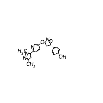 Cc1cc(-c2ccc(OC3=NO[C@H](c4ccc(O)cc4)C3)cn2)n(C)n1